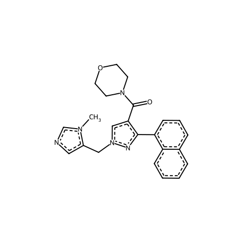 Cn1cncc1Cn1cc(C(=O)N2CCOCC2)c(-c2cccc3ccccc23)n1